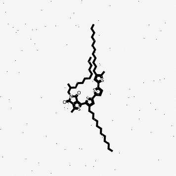 CCCCCCCCCCCCc1cc(-c2ccc(-c3cc(CCCCCCCCCCCC)c(-c4sc(C)c5c4C(=O)N(CC(C)CCCCCCCCCC)C5=O)s3)s2)sc1C